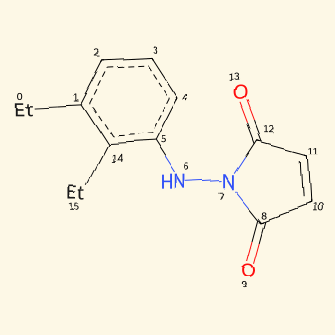 CCc1cccc(NN2C(=O)C=CC2=O)c1CC